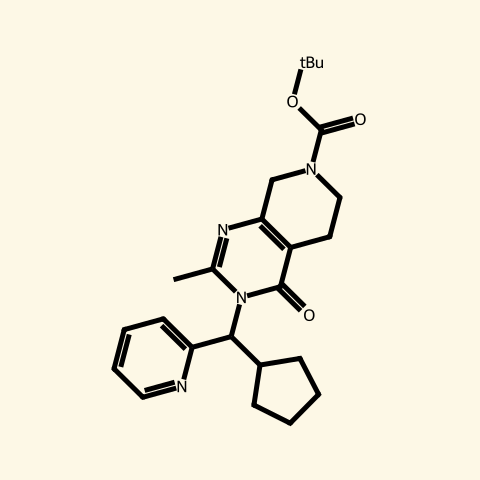 Cc1nc2c(c(=O)n1C(c1ccccn1)C1CCCC1)CCN(C(=O)OC(C)(C)C)C2